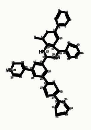 CC1CC(c2ccccc2)=CC2=C1NC(c1cc(C3=CCNC=C3)cc(-c3ccc(-c4ccccn4)cc3)c1)NC2c1ccccc1